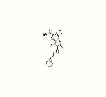 Cc1cc2c3c(c(NC(C)C)nc2c(F)c1OCCCN1CCCC1)CCC3